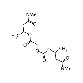 CNC(=O)CC(C)OC(=O)COC(=O)OC(C)CC(=O)NC